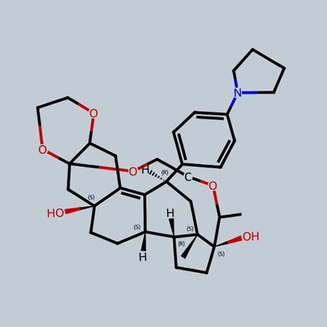 CC1OCCOC23C[C@@]4(O)CC[C@@H]5C(=C4CC2OCCO3)[C@@H](c2ccc(N3CCCC3)cc2)C[C@@]2(C)[C@@H]5CC[C@@]12O